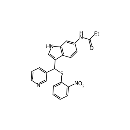 CCC(=O)Nc1ccc2c(C(Sc3ccccc3[N+](=O)[O-])c3cccnc3)c[nH]c2c1